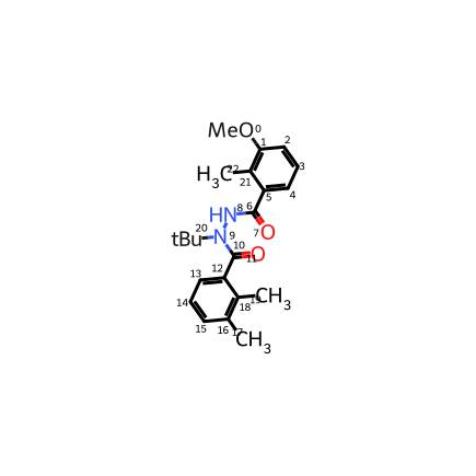 COc1cccc(C(=O)NN(C(=O)c2cccc(C)c2C)C(C)(C)C)c1C